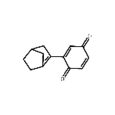 O=C1C=CC(=O)C(C2=C3CCC(C3)C2)=C1